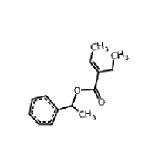 CC=C(CC)C(=O)OC(C)c1ccccc1